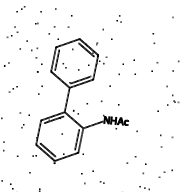 CC(=O)Nc1c[c]ccc1-c1ccccc1